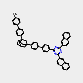 N#Cc1ccc(-c2ccc(C34CC5CC3CC(c3ccc(-c6ccc(-c7nc(-c8ccc9ccccc9c8)nc(-c8ccc9ccccc9c8)n7)cc6)cc3)(C5)C4)cc2)cc1